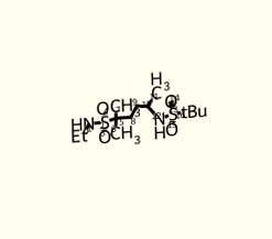 CCNS(=O)(=O)C(C)(C)CCC(C)NS(=O)(=O)C(C)(C)C